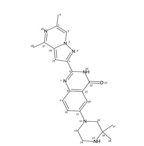 Cc1cn2nc(-c3nc4ccc(N5CCNC(C)(C)C5)cc4c(=O)[nH]3)cc2c(C)n1